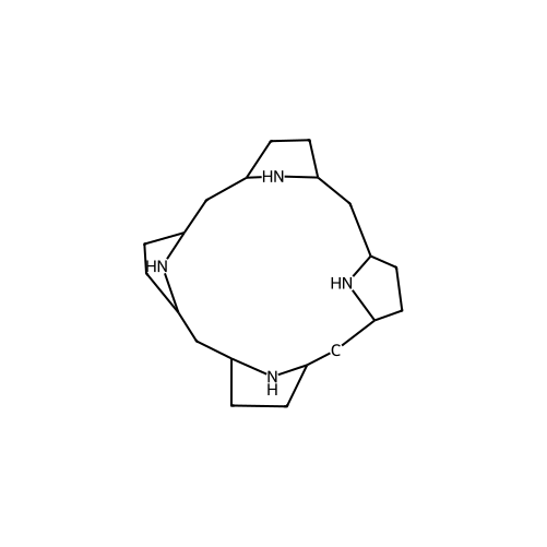 C1CC2CC3CCC(CC4CCC(CC5CCC(CC1N2)N5)N4)N3